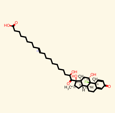 C[C@H]1C[C@H]2[C@@H]3CCC4=CC(=O)C=C[C@]4(C)C3(F)[C@@H](O)C[C@]2(C)[C@@]1(O)C(=O)C(O)CCCCCCCC/C=C/CCCCCCCC(=O)O